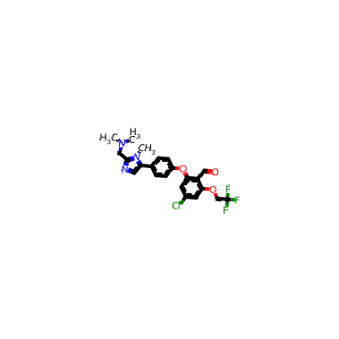 CN(C)Cc1ncc(-c2ccc(Oc3cc(Cl)cc(OCC(F)(F)F)c3C=O)cc2)n1C